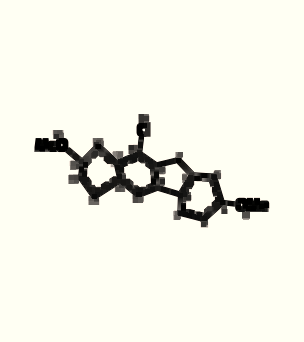 COc1ccc2c(c1)Cc1c-2cc2ccc(OC)cc2c1Cl